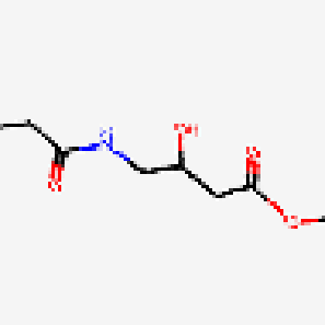 CCC(=O)NCC(O)CC(=O)OC